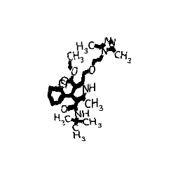 CCOC(=O)C1=C(COCCn2c(C)nnc2C)NC(C)=C(C(=O)NC(C)(C)C)C1c1ccccc1Cl